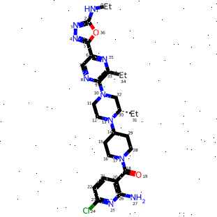 CCNc1nnc(-c2cnc(N3CCN(C4CCN(C(=O)c5ccc(Cl)nc5N)CC4)[C@@H](CC)C3)c(CC)n2)o1